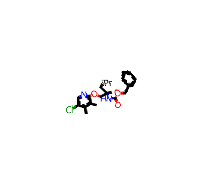 Cc1c(Cl)cnc(OCC(C)(CC(C)C)NC(=O)OCc2ccccc2)c1C